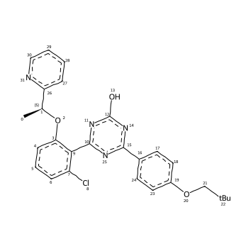 C[C@H](Oc1cccc(Cl)c1-c1nc(O)nc(-c2ccc(OCC(C)(C)C)cc2)n1)c1ccccn1